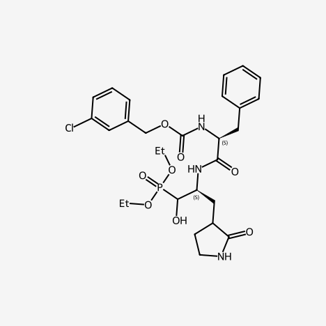 CCOP(=O)(OCC)C(O)[C@H](CC1CCNC1=O)NC(=O)[C@H](Cc1ccccc1)NC(=O)OCc1cccc(Cl)c1